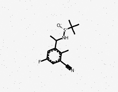 Cc1c(C#N)cc(F)cc1C(C)N[S@+]([O-])C(C)(C)C